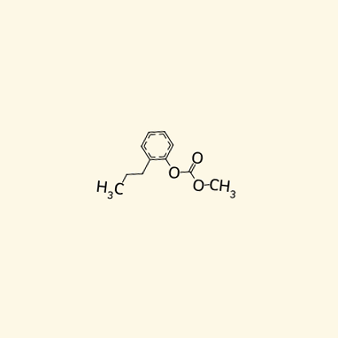 CCCc1ccccc1OC(=O)OC